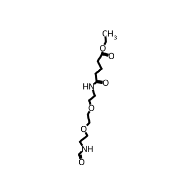 CCOC(=O)CCCC(=O)NCCOCCOCCNC=O